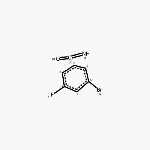 Fc1cccc(Br)c1.N=C=O